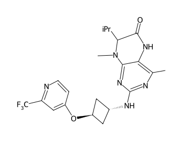 Cc1nc(N[C@H]2C[C@H](Oc3ccnc(C(F)(F)F)c3)C2)nc2c1NC(=O)C(C(C)C)N2C